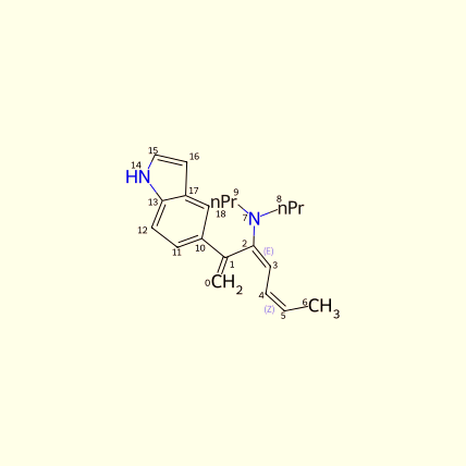 C=C(/C(=C\C=C/C)N(CCC)CCC)c1ccc2[nH]ccc2c1